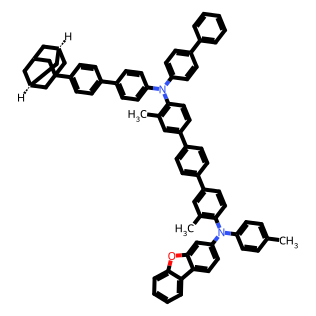 Cc1ccc(N(c2ccc3c(c2)oc2ccccc23)c2ccc(-c3ccc(-c4ccc(N(c5ccc(-c6ccccc6)cc5)c5ccc(-c6ccc(C78CC9C[C@H](C7)C[C@@H](C9)C8)cc6)cc5)c(C)c4)cc3)cc2C)cc1